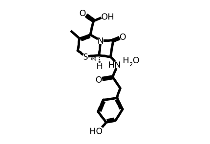 CC1=C(C(=O)O)N2C(=O)C(NC(=O)Cc3ccc(O)cc3)[C@H]2SC1.O